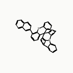 c1ccc2c(c1)Sc1c(-c3ccc4ccccc4c3)cccc1C21c2ccccc2-n2c3ccccc3c3cccc1c32